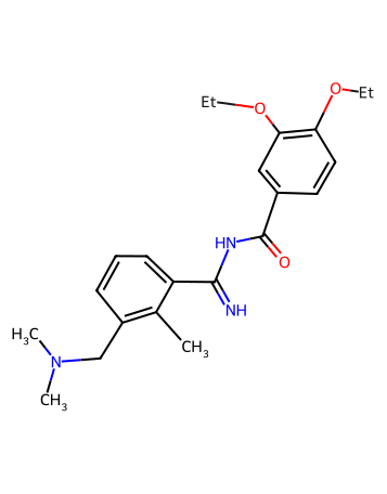 CCOc1ccc(C(=O)NC(=N)c2cccc(CN(C)C)c2C)cc1OCC